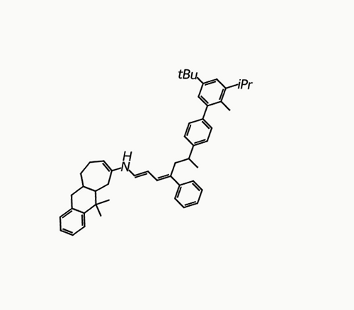 Cc1c(-c2ccc(C(C)C/C(=C\C=C\NC3=CCCC4Cc5ccccc5C(C)(C)C4C3)c3ccccc3)cc2)cc(C(C)(C)C)cc1C(C)C